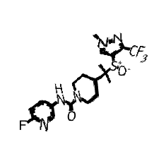 Cn1cc([S+]([O-])C(C)(C)C2CCN(C(=O)Nc3ccc(F)nc3)CC2)c(C(F)(F)F)n1